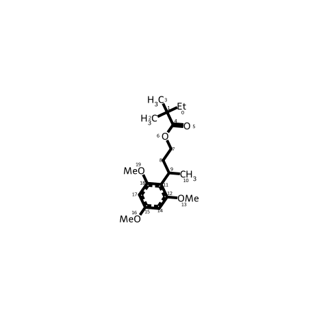 CCC(C)(C)C(=O)OCCC(C)c1c(OC)cc(OC)cc1OC